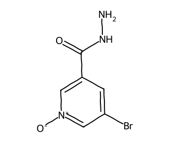 NNC(=O)c1cc(Br)c[n+]([O-])c1